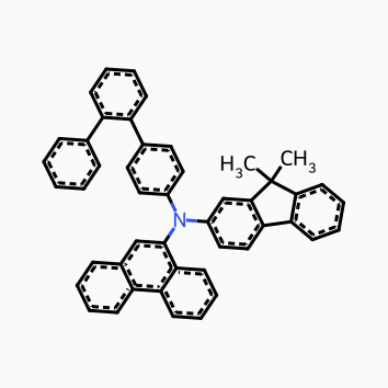 CC1(C)c2ccccc2-c2ccc(N(c3ccc(-c4ccccc4-c4ccccc4)cc3)c3cc4ccccc4c4ccccc34)cc21